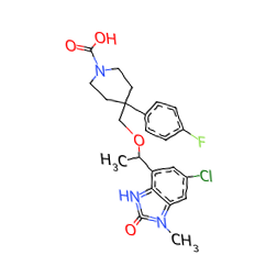 CC(OCC1(c2ccc(F)cc2)CCN(C(=O)O)CC1)c1cc(Cl)cc2c1[nH]c(=O)n2C